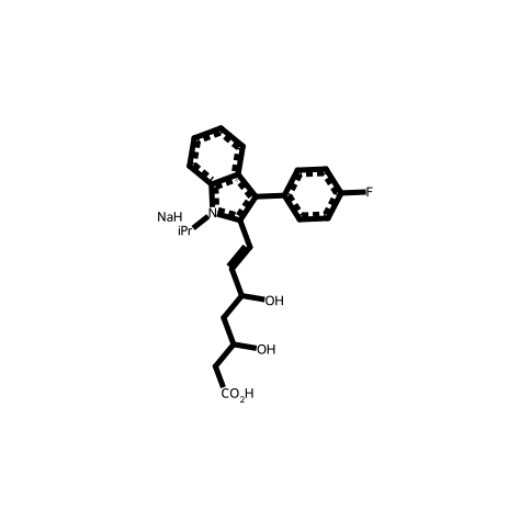 CC(C)n1c(/C=C/C(O)CC(O)CC(=O)O)c(-c2ccc(F)cc2)c2ccccc21.[NaH]